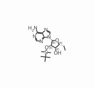 CC[C@H]1O[C@@H](n2cnc3c(N)ncnc32)[C@H](O[Si](C)(C)C(C)(C)C)[C@@H]1O